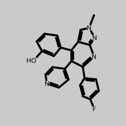 Cn1cc2c(-c3cccc(O)c3)c(-c3ccncc3)c(-c3ccc(F)cc3)nc2n1